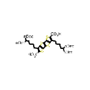 CCCCCCCCCCC(CCCCCCCC)CCCCc1c(C(=O)O)sc2c1sc1c3sc(C(=O)O)c(CCCCC(CCCCCCCC)CCCCCCCCCC)c3sc21